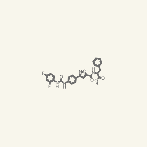 COC(=O)C(Cc1ccccc1)NC(=O)c1cc(-c2ccc(NC(=O)Nc3ccc(F)cc3F)cc2)no1